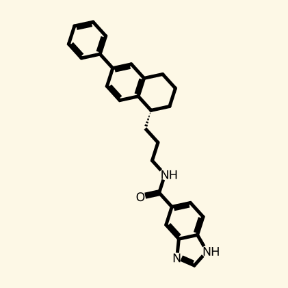 O=C(NCCC[C@H]1CCCc2cc(-c3ccccc3)ccc21)c1ccc2[nH]cnc2c1